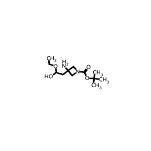 CCOC(O)CC1(N)CN(C(=O)OC(C)(C)C)C1